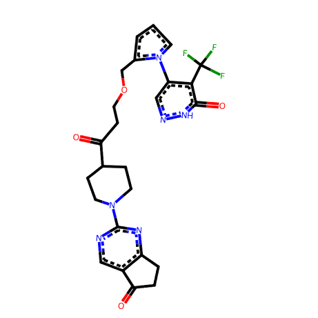 O=C1CCc2nc(N3CCC(C(=O)CCOCc4cccn4-c4cn[nH]c(=O)c4C(F)(F)F)CC3)ncc21